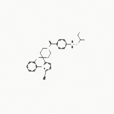 CC(CO)NS(=O)(=O)c1ccc(C(=O)N2CCC3(CC2)Oc2ccccc2-n2c(C#N)ccc23)cc1